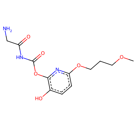 COCCCOc1ccc(O)c(OC(=O)NC(=O)CN)n1